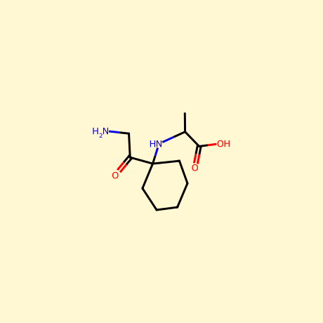 CC(NC1(C(=O)CN)CCCCC1)C(=O)O